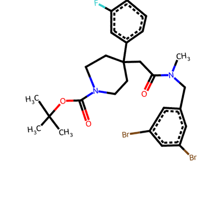 CN(Cc1cc(Br)cc(Br)c1)C(=O)CC1(c2cccc(F)c2)CCN(C(=O)OC(C)(C)C)CC1